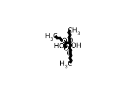 CCCCOCC1O[C@@H](O)[C@@H](OCCCC)C(OCCCC)[C@H]1O